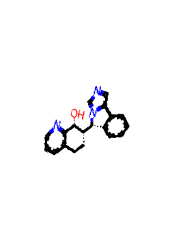 O[C@H]1c2ncccc2CC[C@H]1[C@H]1c2ccccc2-c2cncn21